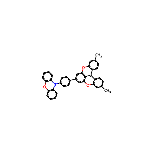 Cc1ccc2c(c1)Oc1cc(-c3ccc(N4c5ccccc5Oc5ccccc54)cc3)cc3c1B2c1ccc(C)cc1O3